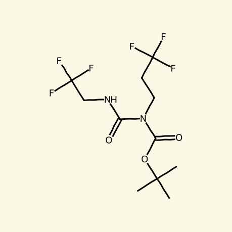 CC(C)(C)OC(=O)N(CCC(F)(F)F)C(=O)NCC(F)(F)F